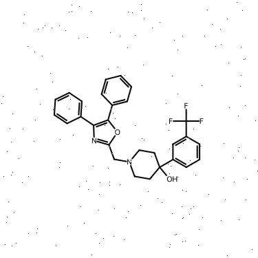 OC1(c2cccc(C(F)(F)F)c2)CCN(Cc2nc(-c3ccccc3)c(-c3ccccc3)o2)CC1